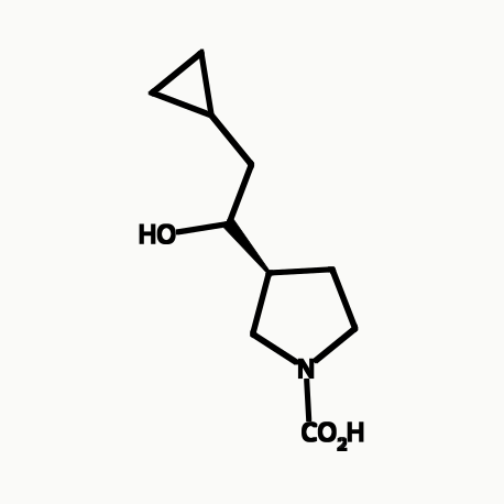 O=C(O)N1CC[C@H](C(O)CC2CC2)C1